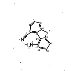 N#Cc1cccc2sc3cccc(N)c3c12